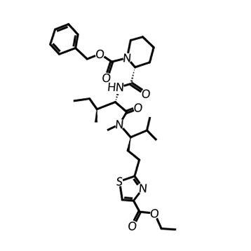 CCOC(=O)c1csc(CC[C@H](C(C)C)N(C)C(=O)[C@@H](NC(=O)[C@H]2CCCCN2C(=O)OCc2ccccc2)[C@@H](C)CC)n1